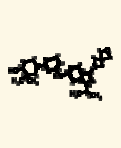 CC(C)n1nc(N2CC3(COC3)C2)c2cnc(Nc3ccnc(N4CCC(O)C(C)(C)C4)n3)cc21